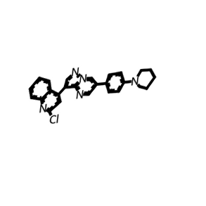 Clc1cc(-c2cnn3cc(-c4ccc(N5CCCCC5)cc4)cnc23)c2ccccc2n1